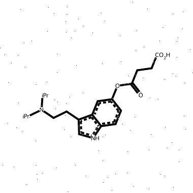 CC(C)N(CCc1c[nH]c2ccc(OC(=O)CCC(=O)O)cc12)C(C)C